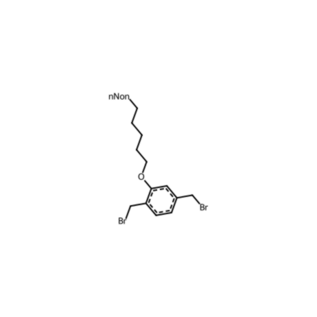 CCCCCCCCCCCCCCOc1cc(CBr)ccc1CBr